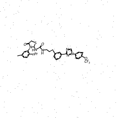 CCCc1ccc(C)cc1N1C(=O)CSC1NC(=O)NCCCc1cccc(-c2ncn(-c3ccc(OC(F)(F)F)cc3)n2)c1